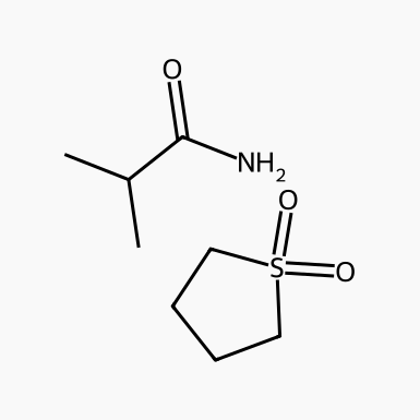 CC(C)C(N)=O.O=S1(=O)CCCC1